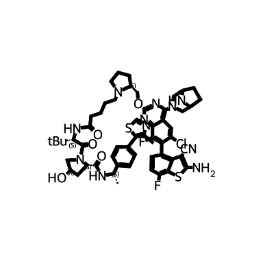 Cc1ncsc1-c1ccc([C@H](C)NC(=O)[C@@H]2C[C@@H](O)CN2C(=O)[C@@H](NC(=O)CCCCN2CCC[C@H]2COc2nc(N3CC4CCC(C3)N4)c3cc(Cl)c(-c4ccc(F)c5sc(N)c(C#N)c45)c(F)c3n2)C(C)(C)C)cc1